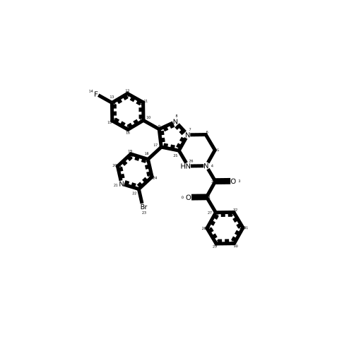 O=C(C(=O)N1CCn2nc(-c3ccc(F)cc3)c(-c3ccnc(Br)c3)c2N1)c1ccccc1